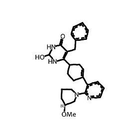 CO[C@H]1CCCN(c2ncccc2C2=CCC(C3=C(Cc4ccccc4)C(=O)NC(O)N3)CC2)C1